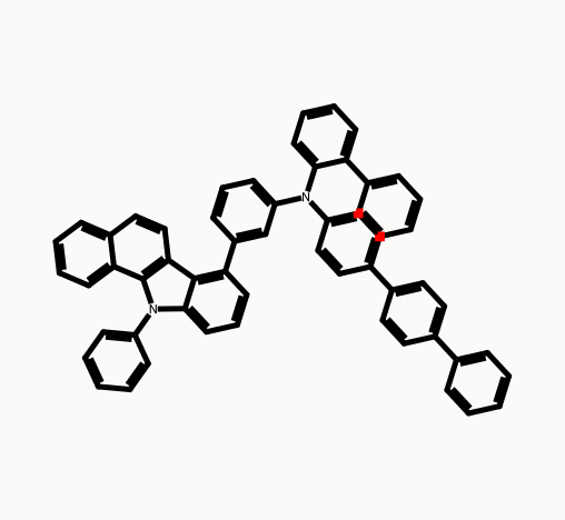 c1ccc(-c2ccc(-c3ccc(N(c4cccc(-c5cccc6c5c5ccc7ccccc7c5n6-c5ccccc5)c4)c4ccccc4-c4ccccc4)cc3)cc2)cc1